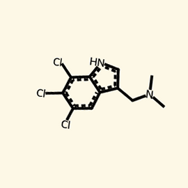 CN(C)Cc1c[nH]c2c(Cl)c(Cl)c(Cl)cc12